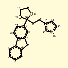 c1ccc2c(c1)Cc1cc(C3(CCn4ccnc4)OCCO3)ccc1-2